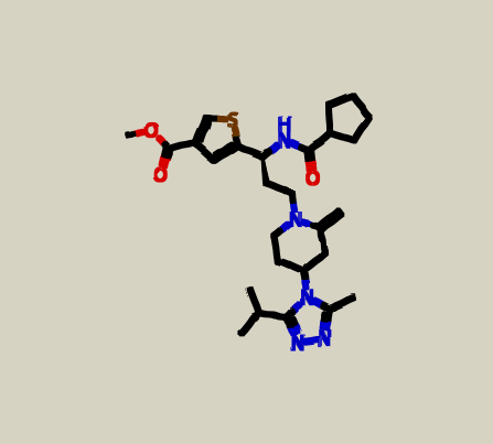 C=C1CC(n2c(C)nnc2C(C)C)CCN1CC[C@H](NC(=O)C1CCCC1)c1cc(C(=O)OC)cs1